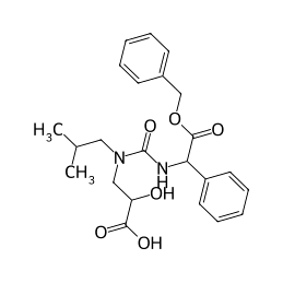 CC(C)CN(CC(O)C(=O)O)C(=O)NC(C(=O)OCc1ccccc1)c1ccccc1